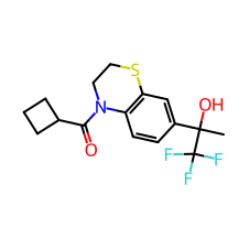 CC(O)(c1ccc2c(c1)SCCN2C(=O)C1CCC1)C(F)(F)F